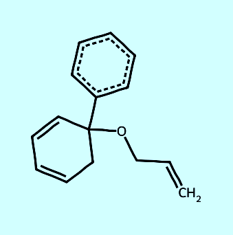 C=CCOC1(c2ccccc2)C=CC=CC1